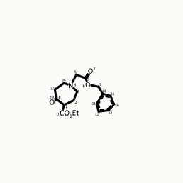 CCOC(=O)C1CCN(CC(=O)OCc2ccccc2)CCC1=O